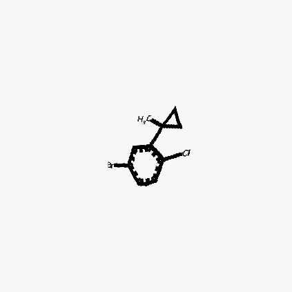 CC1(c2cc(Br)ccc2Cl)CC1